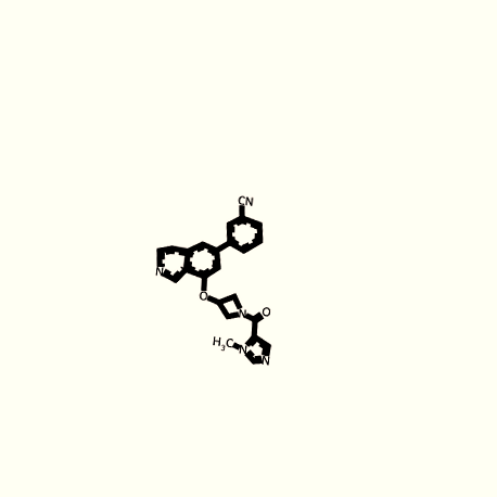 Cn1cncc1C(=O)N1CC(Oc2cc(-c3cccc(C#N)c3)cc3ccncc23)C1